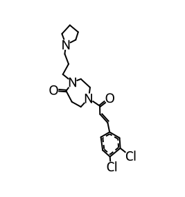 O=C(C=Cc1ccc(Cl)c(Cl)c1)N1CCC(=O)N(CCCN2CCCC2)CC1